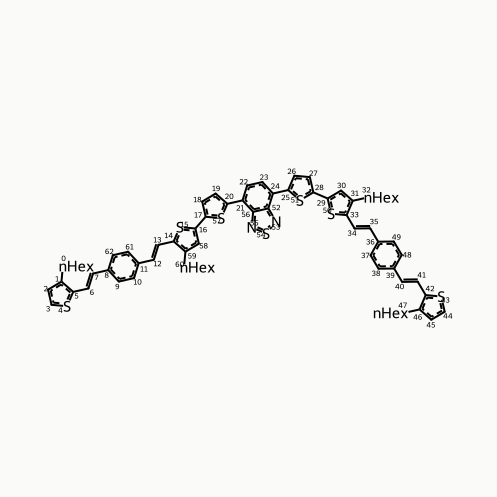 CCCCCCc1ccsc1/C=C/c1ccc(/C=C/c2sc(-c3ccc(-c4ccc(-c5ccc(-c6cc(CCCCCC)c(/C=C/c7ccc(/C=C/c8sccc8CCCCCC)cc7)s6)s5)c5nsnc45)s3)cc2CCCCCC)cc1